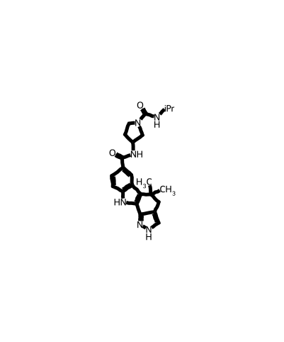 CC(C)NC(=O)N1CCC(NC(=O)c2ccc3[nH]c4c(c3c2)C(C)(C)Cc2c[nH]nc2-4)C1